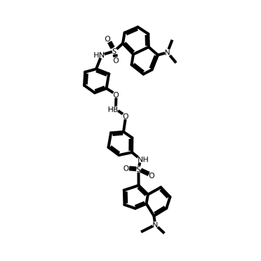 CN(C)c1cccc2c(S(=O)(=O)Nc3cccc(OBOc4cccc(NS(=O)(=O)c5cccc6c(N(C)C)cccc56)c4)c3)cccc12